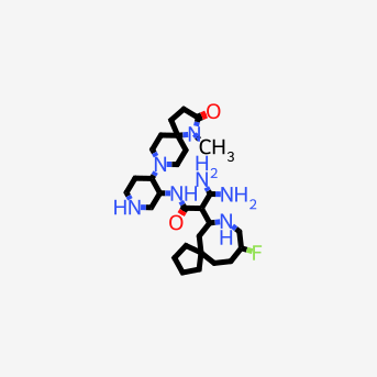 CN1C(=O)CCC12CCN(C1CCNCC1NC(=O)C(C(N)N)C1CC3(CCCC3)CCC(F)CN1)CC2